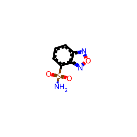 NS(=O)(=O)c1cccc2nonc12